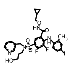 Cc1cc(I)ccc1Nc1c(C(=O)NOCC2CC2)cc(S(=O)(=O)N(CCCO)Cc2cccnc2)c(F)c1F